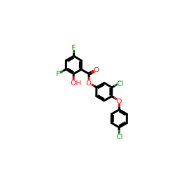 O=C(Oc1ccc(Oc2ccc(Cl)cc2)c(Cl)c1)c1cc(F)cc(F)c1O